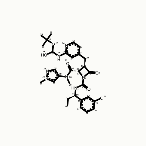 CC[C@@H](NC(=O)N1C(=O)[C@H](Cc2ccnc(NC(O)OC(C)(C)C)c2)[C@H]1C(=O)N(C)c1cnn(C)c1)c1cccc(Cl)c1